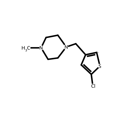 CN1CCN(Cc2[c]sc(Cl)c2)CC1